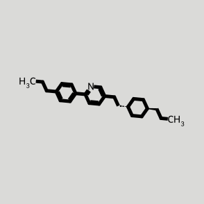 CCCc1ccc(-c2ccc(CC[C@H]3CC[C@H](CCC)CC3)cn2)cc1